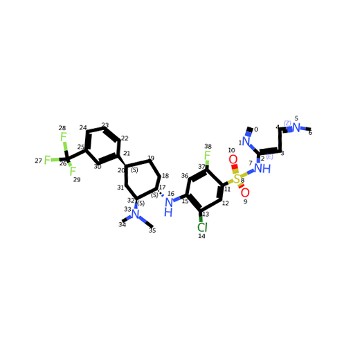 C=N/C(=C\C=N/C)NS(=O)(=O)c1cc(Cl)c(N[C@H]2CC[C@H](c3cccc(C(F)(F)F)c3)C[C@@H]2N(C)C)cc1F